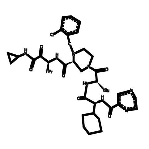 CCC[C@H](NC(=O)[C@H]1CN(C(=O)[C@@H](NC(=O)[C@@H](NC(=O)c2cnccn2)C2CCCCC2)C(C)(C)C)CCN1Cc1ccccc1Cl)C(=O)C(=O)NC1CC1